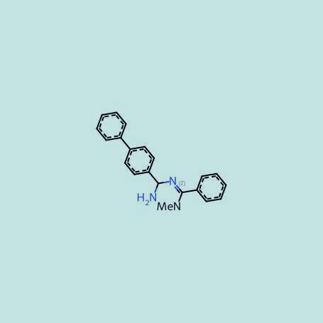 CN/C(=N\C(N)c1ccc(-c2ccccc2)cc1)c1ccccc1